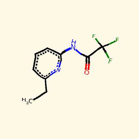 CCc1cccc(NC(=O)C(F)(F)F)n1